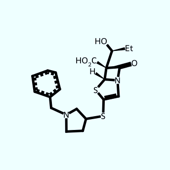 CC[C@H](O)[C@]1(C(=O)O)C(=O)N2C=C(SC3CCN(Cc4ccccc4)C3)S[C@@H]21